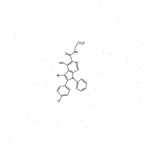 O=C(O)CNC(=O)c1ncc2c(c1O)c(Br)c(-c1ccc(Cl)cc1)n2-c1ccccc1